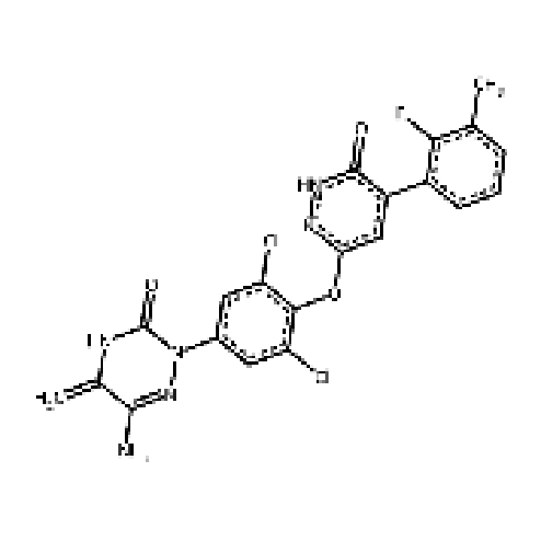 C=C1NC(=O)N(c2cc(Cl)c(Oc3cc(-c4cccc(C)c4F)c(=O)[nH]n3)c(Cl)c2)N=C1N